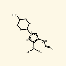 CC1CCC(n2cc(NC=O)c(C(F)F)n2)CC1